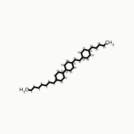 CCCCCCCCC1CCC(C2CCC(CCC3CCC(CCCCC)CC3)CC2)CC1